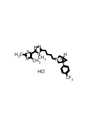 Cc1nc(C)c(-c2nnc(CCCCN3C[C@@H]4C[C@]4(c4ccc(C(F)(F)F)cc4)C3)n2C)s1.Cl